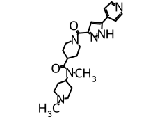 CN1CCC(N(C)C(=O)C2CCN(C(=O)c3cc(-c4ccncc4)[nH]n3)CC2)CC1